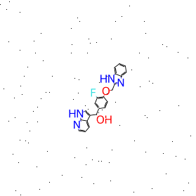 OC(c1ccc(OCc2nc3ccccc3[nH]2)c(F)c1)c1c[nH]c2ncccc12